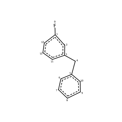 Fc1[c]c(Cc2ccccc2)ccc1